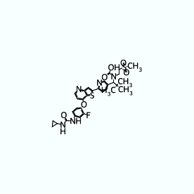 CC(C)(C)C(c1ccc(-c2cc3nccc(Oc4ccc(NC(=O)NC5CC5)cc4F)c3s2)nc1)N(CCS(C)(=O)=O)C(=O)O